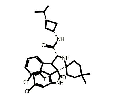 CC(C)[C@H]1C[C@H](NC(=O)[C@@H]2NC3(CCC(C)(C)CC3)[C@@]3(C(=O)Nc4cc(Cl)ccc43)[C@H]2c2cccc(Cl)c2F)C1